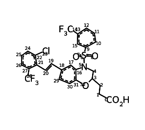 O=C(O)CCC1CN(S(=O)(=O)c2cccc(C(F)(F)F)c2)c2cc(/C=C/c3c(Cl)cccc3C(F)(F)F)ccc2O1